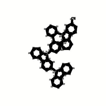 N#Cc1ccc2c3ccccc3n(-c3ccccc3-c3cc(-n4c5ccccc5c5ccc(-n6c7ccccc7c7ccccc76)cc54)ccc3C#N)c2c1